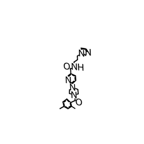 Cc1ccc(C(=O)N2CCN(c3ccc(C(=O)NCCCn4ccnc4)cn3)CC2)c(C)c1